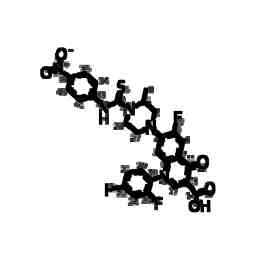 CC1CN(c2cc3c(cc2F)c(=O)c(C(=O)O)cn3-c2ccc(F)cc2F)CCN1C(=S)Nc1ccc([N+](=O)[O-])cc1